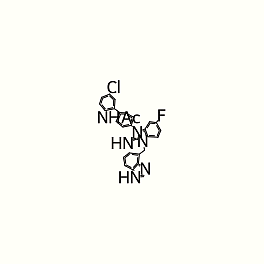 CC(=O)Nc1ccc(Cl)cc1-c1ccc(-n2c(=N)n(Cc3cccc4[nH]cnc34)c3ccc(F)cc32)cc1